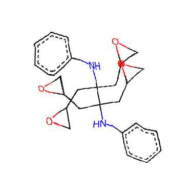 c1ccc(NC(CC2CO2)(CC2CO2)C(CC2CO2)(CC2CO2)Nc2ccccc2)cc1